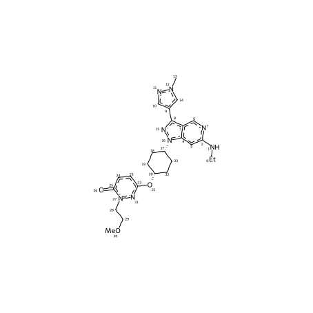 CCNc1cc2c(cn1)c(-c1cnn(C)c1)nn2[C@H]1CC[C@@H](Oc2ccc(=O)n(CCOC)n2)CC1